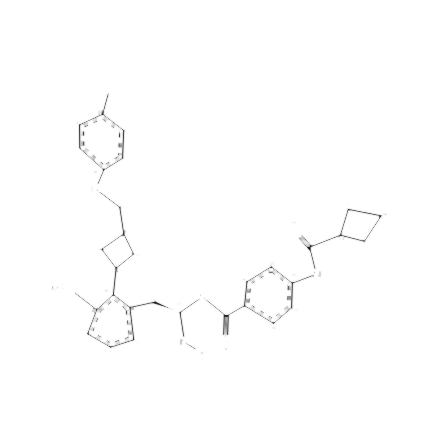 CCCCN[C@@H](Cc1cccc(OC)c1C1CC(CNc2ccc(C(=O)O)cc2)C1)NC(=O)c1ccc(NC(=O)C2CCC2)cc1